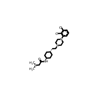 CN(C)CC(=O)N[C@H]1CC[C@H](CCN2CCN(c3cccc(Cl)c3Cl)CC2)CC1